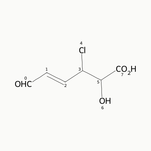 O=C/C=C/C(Cl)C(O)C(=O)O